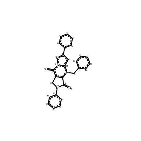 O=C1c2c(c(=O)n3nc(-c4ccccc4)cc3n2Cc2ccccc2)CN1c1ccccc1